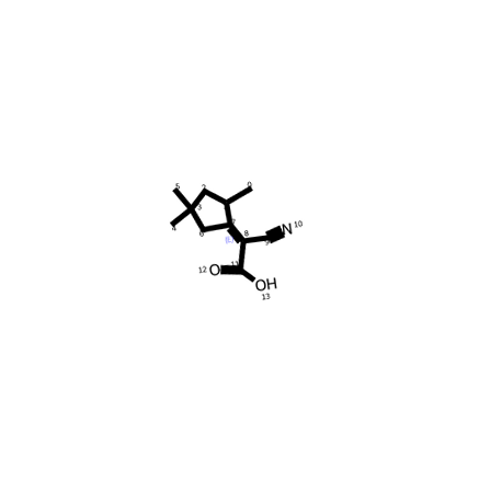 CC1CC(C)(C)C/C1=C(/C#N)C(=O)O